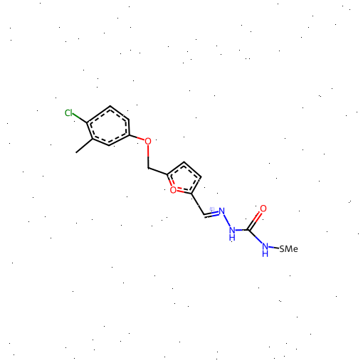 CSNC(=O)N/N=C/c1ccc(COc2ccc(Cl)c(C)c2)o1